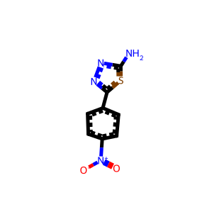 Nc1nnc(-c2ccc([N+](=O)[O-])cc2)s1